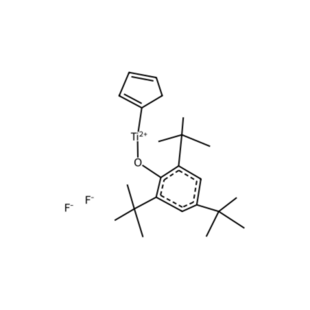 CC(C)(C)c1cc(C(C)(C)C)c([O][Ti+2][C]2=CC=CC2)c(C(C)(C)C)c1.[F-].[F-]